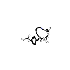 NC(=O)Oc1ccc(CN2CCCCC/C=C/C3CC3([C]=O)NC(=O)C3CC(O)CN3C2=O)cc1